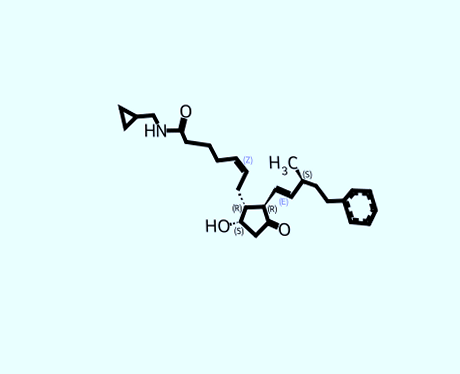 C[C@H](/C=C/[C@H]1C(=O)C[C@H](O)[C@@H]1C/C=C\CCCC(=O)NCC1CC1)CCc1ccccc1